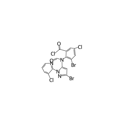 O=CN(c1c(Br)cc(Cl)cc1C(=O)Cl)c1cc(Br)nn1-c1ncccc1Cl